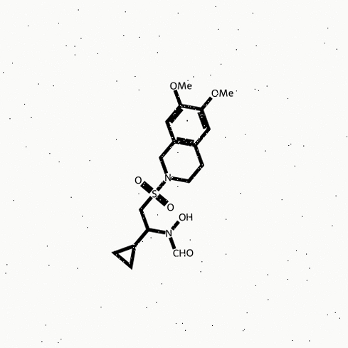 COc1cc2c(cc1OC)CN(S(=O)(=O)CC(C1CC1)N(O)C=O)CC2